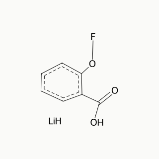 O=C(O)c1ccccc1OF.[LiH]